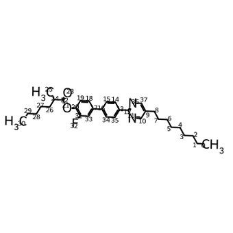 CCCCCCCCCc1cnc(-c2ccc(-c3ccc(OC(=O)C(C)CCCCC)c(F)c3)cc2)nc1